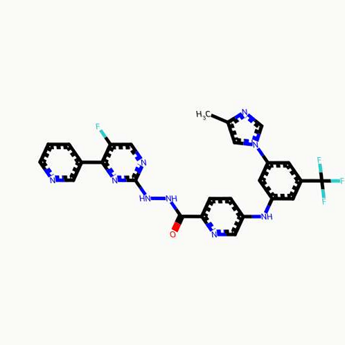 Cc1cn(-c2cc(Nc3ccc(C(=O)NNc4ncc(F)c(-c5cccnc5)n4)nc3)cc(C(F)(F)F)c2)cn1